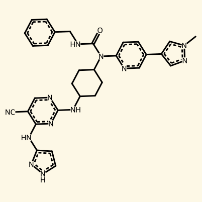 Cn1cc(-c2ccc(N(C(=O)NCc3ccccc3)C3CCC(Nc4ncc(C#N)c(Nc5cc[nH]n5)n4)CC3)nc2)cn1